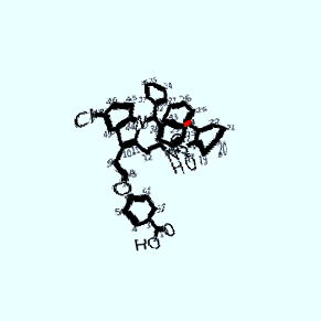 O=C(O)c1ccc(OCCc2c(CCNS(=O)(=O)c3ccccc3-c3ccccc3)n(C(c3ccccc3)c3ccccc3)c3ccc(Cl)cc23)cc1